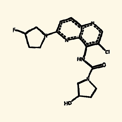 O=C(Nc1c(Cl)cnc2ccc(N3CCC(F)C3)nc12)N1CCC(O)C1